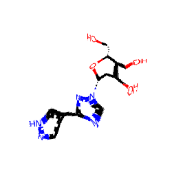 OC[C@H]1O[C@@H](n2cnc(-c3cn[nH]c3)n2)C(O)C1O